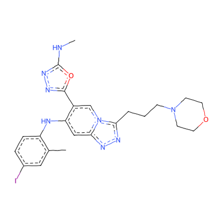 CNc1nnc(-c2cn3c(CCCN4CCOCC4)nnc3cc2Nc2ccc(I)cc2C)o1